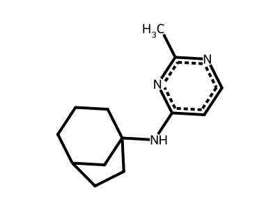 Cc1nccc(NC23CCCC(CC2)C3)n1